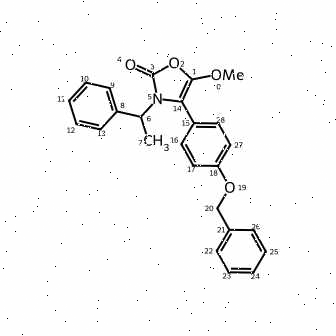 COc1oc(=O)n(C(C)c2ccccc2)c1-c1ccc(OCc2ccccc2)cc1